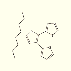 CCCCCCCC.c1csc(-c2ccsc2-c2cccs2)c1